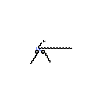 CCCCCCC=Cc1ccc(N=C(CCCC)C(CCCCCCCCCCCCCCCCCCCCC)=Nc2ccc(C=CCCCCCC)cc2)cc1.[Ni]